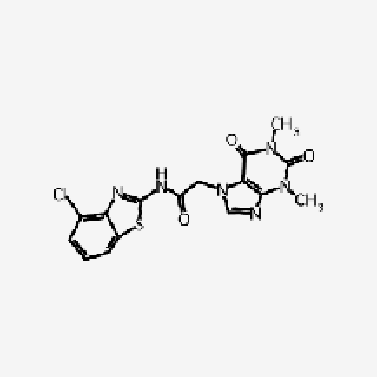 Cn1c(=O)c2c(ncn2CC(=O)Nc2nc3c(Cl)cccc3s2)n(C)c1=O